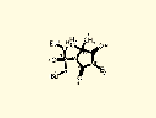 CCOP(=O)(SC(C)CC)N1C(=O)N(CC)C(=O)C1(C)C